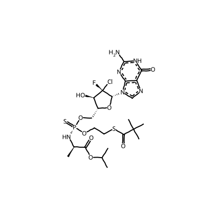 CC(C)OC(=O)[C@@H](C)N[P@@](=S)(OCCSC(=O)C(C)(C)C)OC[C@H]1O[C@@H](n2cnc3c(=O)[nH]c(N)nc32)[C@@](F)(Cl)[C@@H]1O